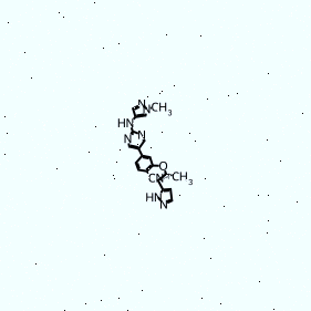 C[C@@H](Cc1ccn[nH]1)Oc1cc(-c2cnc(Nc3cnn(C)c3)nc2)ccc1C#N